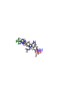 CCCS(=O)(=O)Nc1ccc(-c2c(C#N)c3ccc(Oc4nccc(C(F)(F)F)n4)cc3n2CC2CC2)c(C)c1